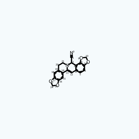 N#CC1c2c(ccc3c2OCO3)C=C2c3cc4c(cc3CCN21)OCO4